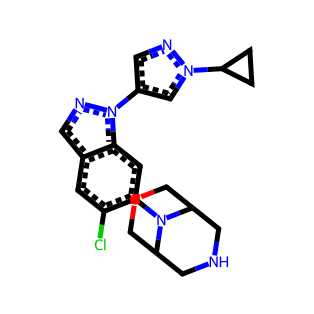 Clc1cc2cnn(-c3cnn(C4CC4)c3)c2cc1N1C2CNCC1COC2